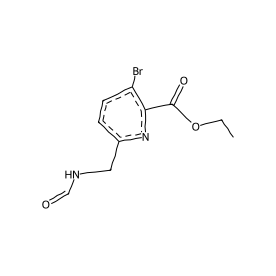 CCOC(=O)c1nc(CNC=O)ccc1Br